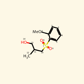 COc1ccccc1S(=O)(=O)CC(C)CO